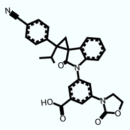 CC(C)C1(c2ccc(C#N)cc2)CC12C(=O)N(c1cc(C(=O)O)cc(N3CCOC3=O)c1)c1ccccc12